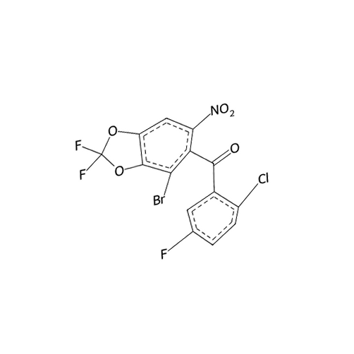 O=C(c1cc(F)ccc1Cl)c1c([N+](=O)[O-])cc2c(c1Br)OC(F)(F)O2